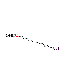 O=[C]OCCCCCCCCCCCCCCCI